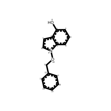 Oc1cccc2c1ccn2OCc1ccccc1